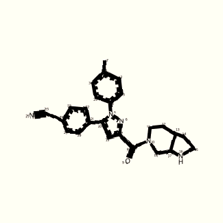 Cc1ccc(-n2nc(C(=O)N3CCC4CCNC4C3)cc2-c2ccc(C#N)cc2)cc1